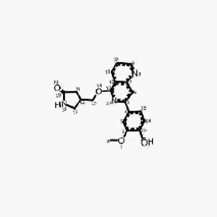 COc1cc(-c2cc3ncccc3c(OCC3CNC(=O)C3)n2)ccc1O